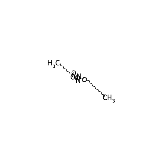 CCCCCCCCCCCCc1ccc(-c2ncc(OC(=O)CCCCCCCCC)cn2)cc1